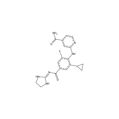 NC(=O)c1ccnc(Nc2c(F)cc(C(=O)N=C3NCCN3)cc2C2CC2)c1